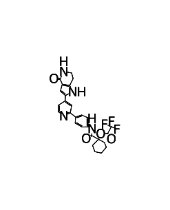 O=C1NCCc2[nH]c(-c3ccnc(-c4ccc(NC(=O)C5(OC(=O)C(F)(F)F)CCCCC5)cc4)c3)cc21